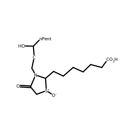 CCCCCC(O)CCN1C(=O)C[S+]([O-])C1CCCCCCC(=O)O